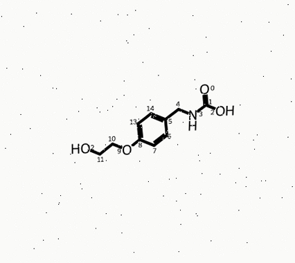 O=C(O)NCc1ccc(OCCO)cc1